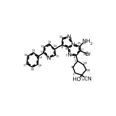 N#CC1(O)CCC(c2nc3c(-c4ccc(-c5ccccc5)nc4)cnn3c(N)c2Br)CC1